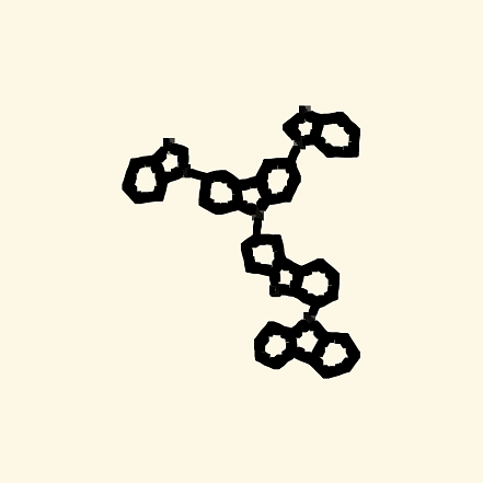 c1ccc2c(c1)ncn2-c1ccc2c(c1)c1cc(-n3cnc4ccccc43)ccc1n2-c1ccc2oc3c(-n4c5ccccc5c5ccccc54)cccc3c2c1